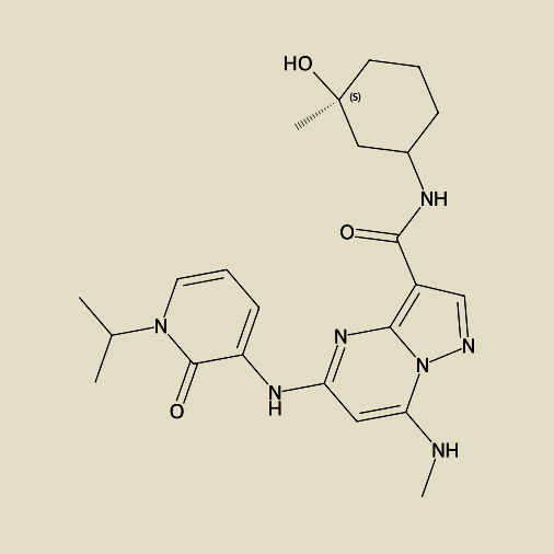 CNc1cc(Nc2cccn(C(C)C)c2=O)nc2c(C(=O)NC3CCC[C@](C)(O)C3)cnn12